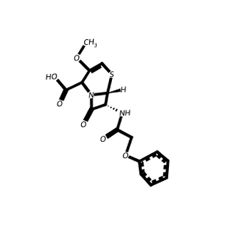 COC1=CS[C@@H]2[C@H](NC(=O)COc3ccccc3)C(=O)N2C1C(=O)O